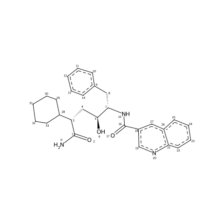 NC(=O)[C@@H](C[C@H](O)[C@H](Cc1ccccc1)NC(=O)c1cnc2ccccc2c1)C1CCCCC1